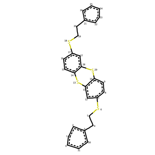 c1ccc(CCSc2ccc3c(c2)Sc2ccc(SCCc4ccccc4)cc2S3)cc1